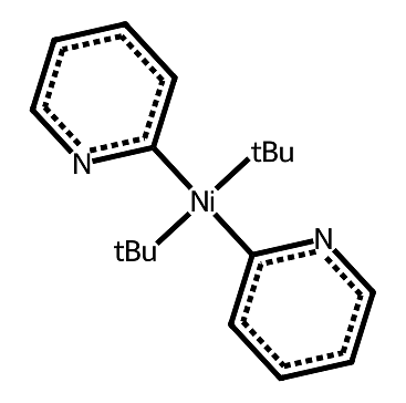 C[C](C)(C)[Ni]([c]1ccccn1)([c]1ccccn1)[C](C)(C)C